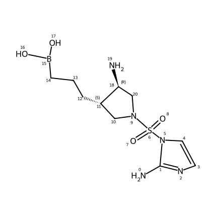 Nc1nccn1S(=O)(=O)N1C[C@H](CCCB(O)O)[C@@H](N)C1